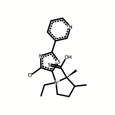 CC[N+]1(c2sc(-c3cccnc3)nc2Cl)CCC(C)[C@@]1(C)C(O)=S